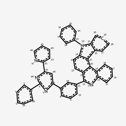 c1ccc(-c2nc(-c3cccc(-c4nc5ccccc5c5c4ccc4c5c5ccccc5n4-c4ccccc4)c3)cc(-c3ccccn3)n2)cc1